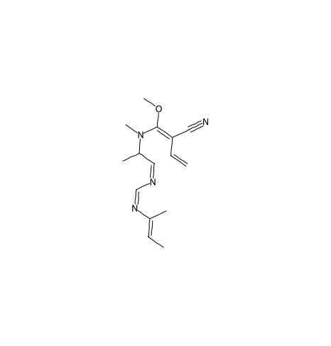 C=C/C(C#N)=C(/OC)N(C)C(C)\C=N/C=N\C(C)=C\C